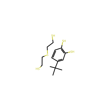 CC(C)(C)c1ccc(S)c(S)c1.SCCSCCS